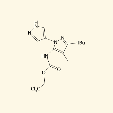 Cc1c(C(C)(C)C)nn(-c2cn[nH]c2)c1NC(=O)OCC(Cl)(Cl)Cl